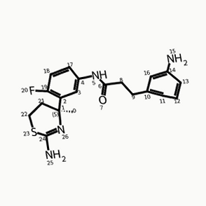 C[C@@]1(c2cc(NC(=O)CCc3cccc(N)c3)ccc2F)CCSC(N)=N1